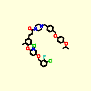 Cc1cc(C=CC(=O)N2CCN(Cc3ccc(COc4ccc(OC(C)C)cc4)cc3)CC2)cc(Cl)c1Oc1ccc(OCc2cccc(Cl)c2F)cn1